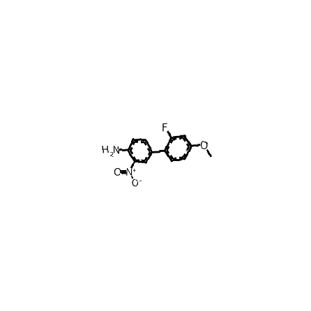 COc1ccc(-c2ccc(N)c([N+](=O)[O-])c2)c(F)c1